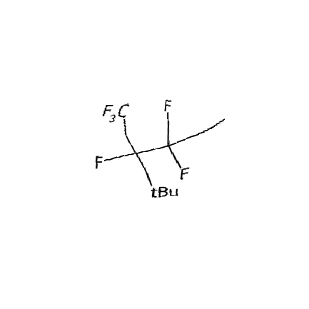 CC(C)(C)C(F)(C(C)(F)F)C(F)(F)F